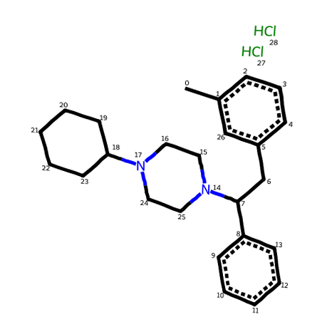 Cc1cccc(CC(c2ccccc2)N2CCN(C3CCCCC3)CC2)c1.Cl.Cl